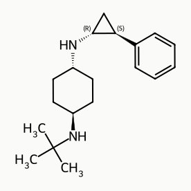 CC(C)(C)N[C@H]1CC[C@H](N[C@@H]2C[C@H]2c2ccccc2)CC1